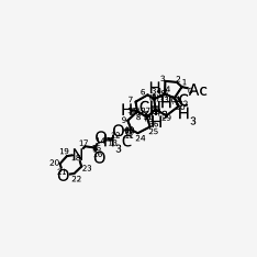 CC(=O)C1CC[C@H]2[C@@H]3CC[C@H]4C[C@](C)(OCOC(=O)CN5CCOCC5)CC[C@]4(C)[C@H]3CC[C@]12C